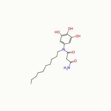 CCCCCCCCCCN(C(=O)CC(N)=O)c1cc(O)c(O)c(O)c1